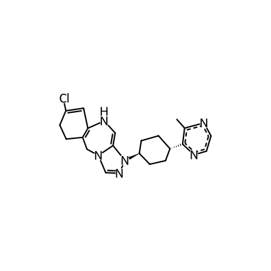 Cc1nccnc1[C@H]1CC[C@H](N2N=CN3CC4=C(C=C(Cl)CC4)NC=C32)CC1